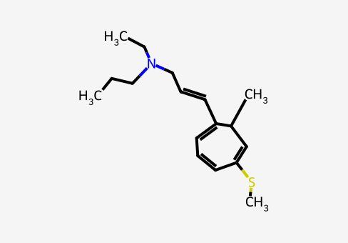 CCCN(CC)C/C=C/C1=CC=CC(SC)=CC1C